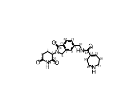 O=C1CCC(N2Cc3cc(CNC(=O)C4=CCCNCC4)ccc3C2=O)C(=O)N1